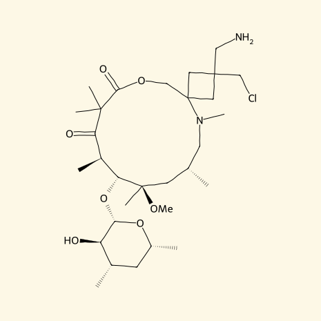 CO[C@]1(C)C[C@@H](C)CN(C)C2(COC(=O)C(C)(C)C(=O)[C@H](C)[C@H]1O[C@@H]1O[C@H](C)C[C@H](C)[C@H]1O)CC(CN)(CCl)C2